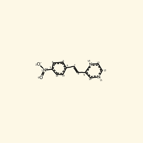 O=[N+]([O-])c1ccc(C=Cc2cnccn2)cc1